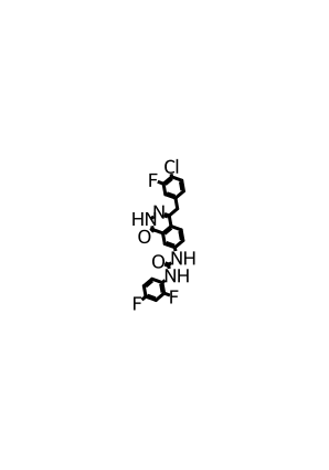 O=C(Nc1ccc2c(Cc3ccc(Cl)c(F)c3)n[nH]c(=O)c2c1)Nc1ccc(F)cc1F